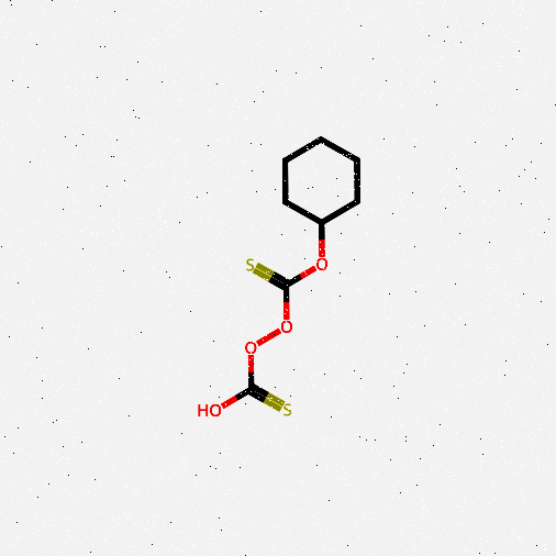 OC(=S)OOC(=S)OC1CCCCC1